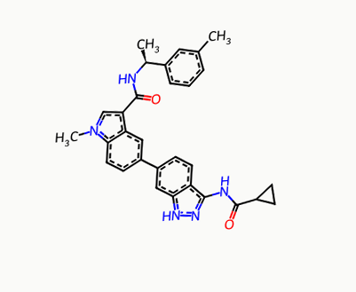 Cc1cccc([C@H](C)NC(=O)c2cn(C)c3ccc(-c4ccc5c(NC(=O)C6CC6)n[nH]c5c4)cc23)c1